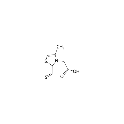 CC1=CSC(C=S)N1CC(=O)O